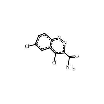 NC(=O)c1nnc2ccc(Cl)cc2c1Cl